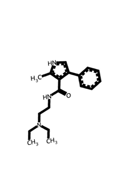 CCN(CC)CCNC(=O)c1c(-c2ccccc2)c[nH]c1C